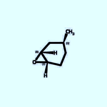 C[C@H]1CC[C@@H]2O[C@@H]2C1